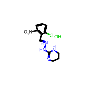 Cl.O=[N+]([O-])c1cccc(Cl)c1/C=N/NC1=NCCCN1